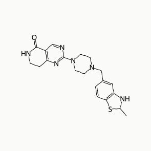 CC1Nc2cc(CN3CCN(c4ncc5c(n4)CCNC5=O)CC3)ccc2S1